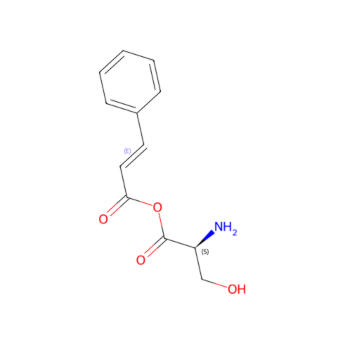 N[C@@H](CO)C(=O)OC(=O)/C=C/c1ccccc1